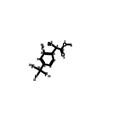 COC(=O)C(Br)c1ccc(C(F)(F)F)cc1F